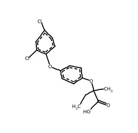 CCC(C)(Oc1ccc(Oc2ccc(Cl)cc2Cl)cc1)C(=O)O